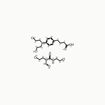 O=C(O)CCCc1ccc(N(CCCl)CCCl)cc1.O=NN(CCCl)C(=O)NCCCl